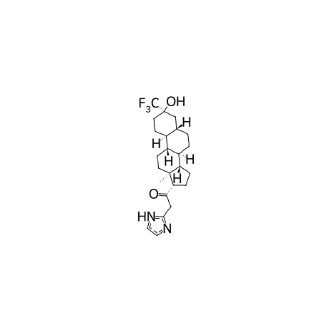 C[C@]12CC[C@H]3[C@@H](CC[C@H]4C[C@@](O)(C(F)(F)F)CC[C@@H]43)[C@@H]1CC[C@@H]2C(=O)Cc1ncc[nH]1